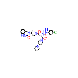 O=C(Nc1ccc(Cl)cc1)N[C@@H](CC(=O)N1CCC(N2Cc3ccccc3NC2=O)CC1)C(=O)N1CCC(N2CCCCC2)CC1